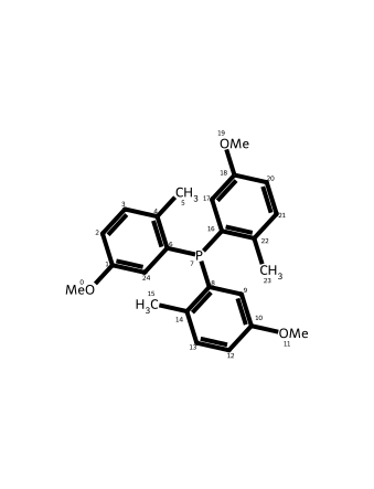 COc1ccc(C)c(P(c2cc(OC)ccc2C)c2cc(OC)ccc2C)c1